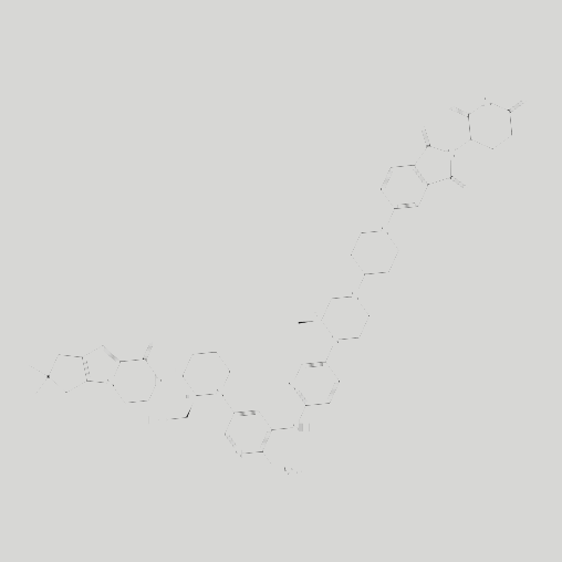 COc1ncc(N2CCC[C@@H](N3CCn4c(cc5c4CC(C)(C)C5)C3=O)[C@@H]2CO)cc1Nc1ccc(N2CCN(C3CCN(c4ccc5c(c4)C(=O)N(C4CCC(=O)NC4=O)C5=O)CC3)C[C@@H]2C)cn1